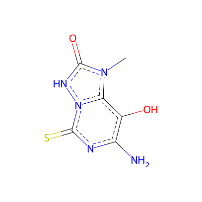 Cn1c(=O)[nH]n2c(=S)nc(N)c(O)c12